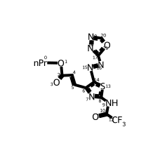 CCCOC(=O)C=Cc1nc(NC(=O)C(F)(F)F)sc1/N=N/c1nnco1